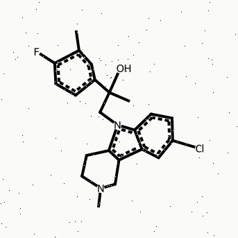 Cc1cc(C(C)(O)Cn2c3c(c4cc(Cl)ccc42)CN(C)CC3)ccc1F